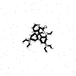 CCOc1cc(N(CC)CC)ccc1C1(c2ccc(N(CC)CC)cc2)OC(=O)c2ncccc21